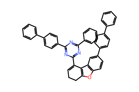 C1=C(c2nc(-c3ccccc3)nc(-c3ccc(-c4ccccc4)cc3)n2)c2c(oc3ccc(-c4ccc(-c5ccccc5)cc4)cc23)CC1